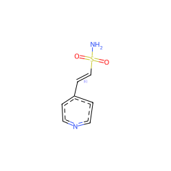 NS(=O)(=O)/C=C/c1ccncc1